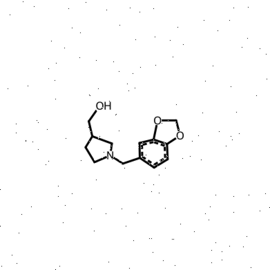 OCC1CCN(Cc2ccc3c(c2)OCO3)C1